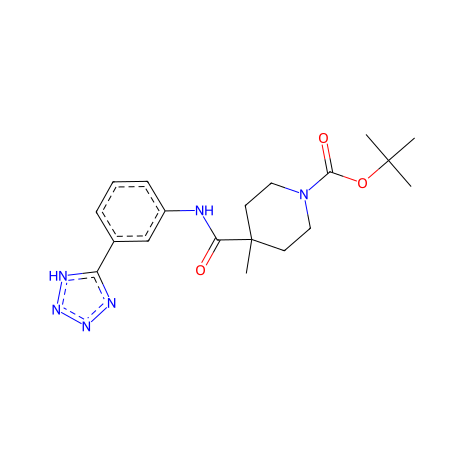 CC(C)(C)OC(=O)N1CCC(C)(C(=O)Nc2cccc(-c3nnn[nH]3)c2)CC1